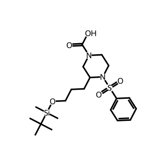 CC(C)(C)[Si](C)(C)OCCCC1CN(C(=O)O)CCN1S(=O)(=O)c1ccccc1